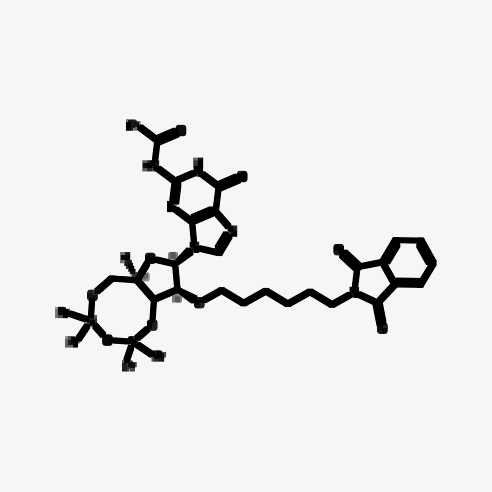 CC(C)C(=O)Nc1nc2c(ncn2[C@@H]2O[C@@H]3CO[Si](C(C)C)(C(C)C)O[Si](C(C)C)(C(C)C)OC3[C@@H]2OCCCCCCN2C(=O)c3ccccc3C2=O)c(=O)[nH]1